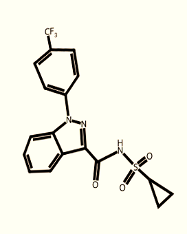 O=C(NS(=O)(=O)C1CC1)c1nn(-c2ccc(C(F)(F)F)cc2)c2ccccc12